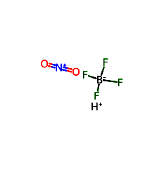 F[B-](F)(F)F.O=[N+]=O.[H+]